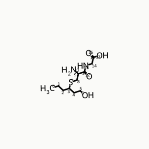 CCCC(CCO)SCC(N)C(=O)NCC(=O)O